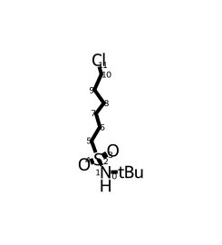 CC(C)(C)NS(=O)(=O)CCCCCCCl